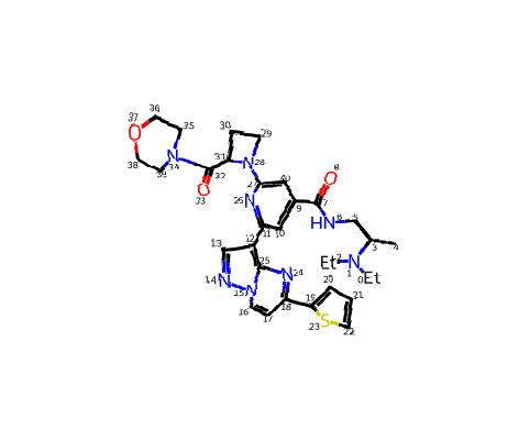 CCN(CC)C(C)CNC(=O)c1cc(-c2cnn3ccc(-c4cccs4)nc23)nc(N2CCC2C(=O)N2CCOCC2)c1